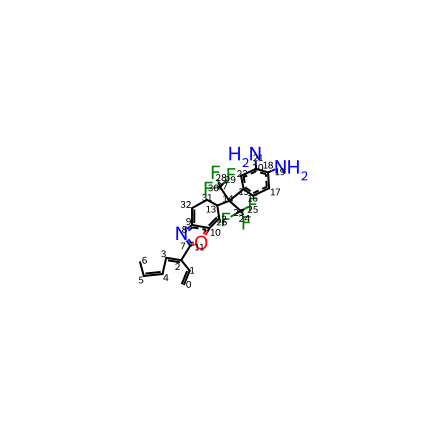 C=C/C(=C\C=C/C)c1nc2c(o1)=CC(C(c1ccc(N)c(N)c1)(C(F)(F)F)C(F)(F)F)CC=2